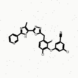 Cc1nc(-c2cccnc2)[nH]c1-c1nnc(Cc2ccc(Cl)c(Oc3cc(Cl)cc(C#N)c3)c2F)o1